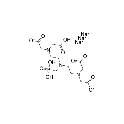 O=C([O-])CN(CCN(CCN(CC(=O)[O-])CC(=O)O)CP(=O)(O)O)CC(=O)[O-].[Na+].[Na+].[Na+]